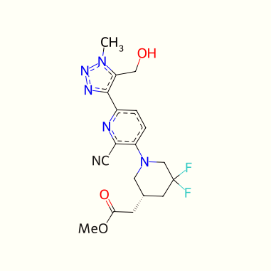 COC(=O)C[C@@H]1CN(c2ccc(-c3nnn(C)c3CO)nc2C#N)CC(F)(F)C1